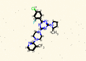 CC1CCCN1c1nc(-c2ccc(Cl)cc2F)nc(N2CCN(c3ncccc3C(F)(F)F)CC2)n1